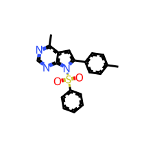 Cc1ccc(-c2cc3c(C)ncnc3n2S(=O)(=O)c2ccccc2)cc1